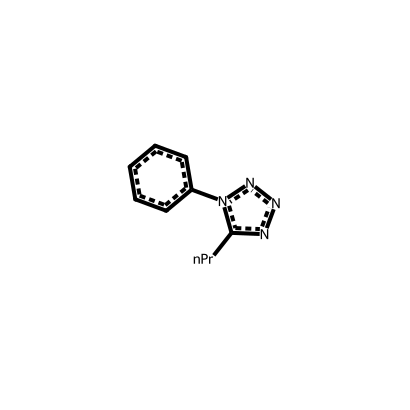 CCCc1nnnn1-c1ccccc1